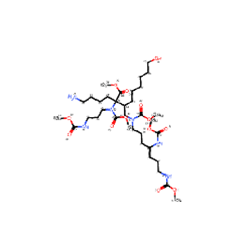 CC(C)(C)OC(=O)NCCCC(CCCN(CC(CCCCCCO)C(CCCCN)(C(=O)OC(C)(C)C)N(CCCNC(=O)OC(C)(C)C)C(=O)OC(C)(C)C)C(=O)OC(C)(C)C)NC(=O)OC(C)(C)C